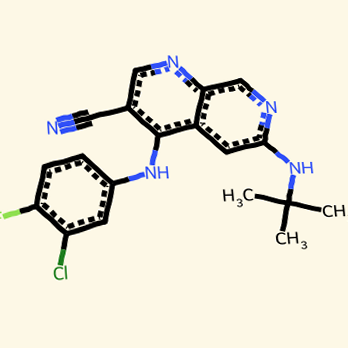 CC(C)(C)Nc1cc2c(Nc3ccc(F)c(Cl)c3)c(C#N)cnc2cn1